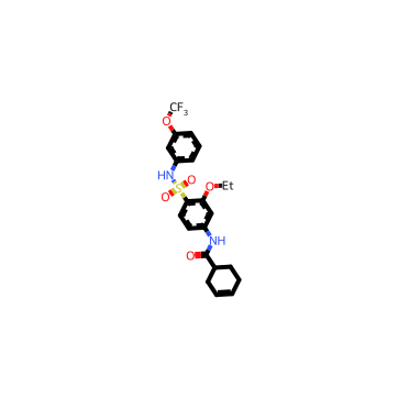 CCOc1cc(NC(=O)C2CC=CCC2)ccc1S(=O)(=O)Nc1cccc(OC(F)(F)F)c1